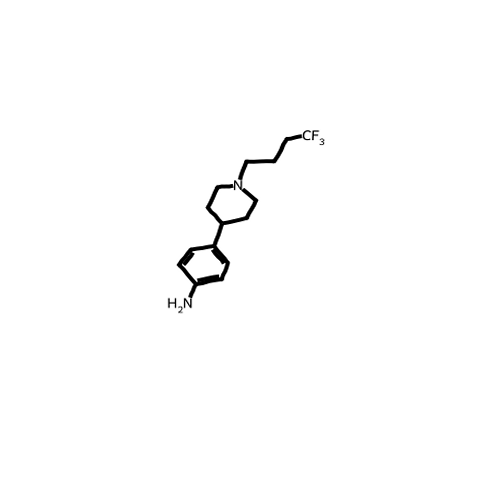 Nc1ccc(C2CCN(CCCC(F)(F)F)CC2)cc1